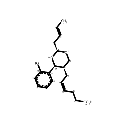 C/C=C/C[C@H]1OC[C@@H](C/C=C\CCC(=O)O)[C@@H](c2ccccc2O)O1